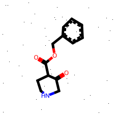 O=C1CNCCC1C(=O)OCc1ccccc1